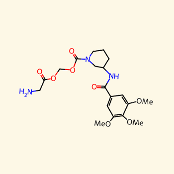 COc1cc(C(=O)NC2CCCN(C(=O)OCOC(=O)CN)C2)cc(OC)c1OC